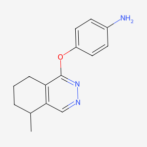 CC1CCCc2c1cnnc2Oc1ccc(N)cc1